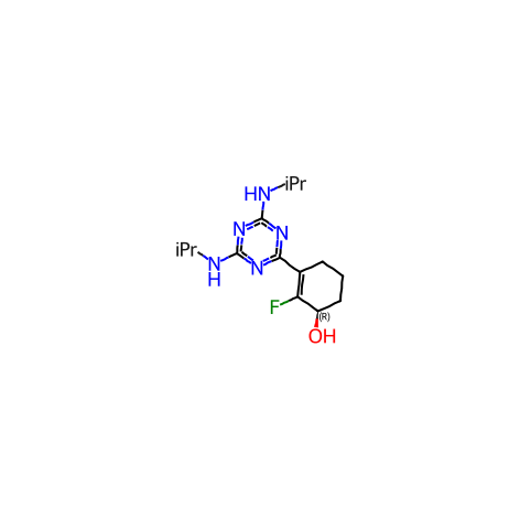 CC(C)Nc1nc(NC(C)C)nc(C2=C(F)[C@H](O)CCC2)n1